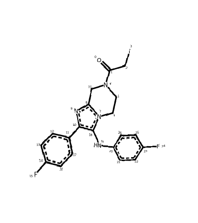 O=C(CI)N1CCn2c(nc(-c3ccc(F)cc3)c2Nc2ccc(F)cc2)C1